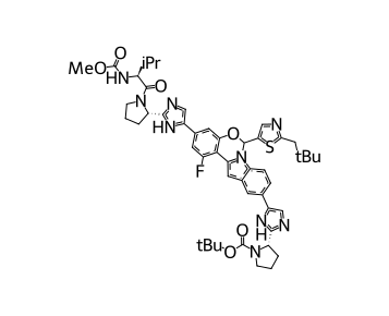 COC(=O)N[C@H](C(=O)N1CCC[C@H]1c1ncc(-c2cc(F)c3c(c2)OC(c2cnc(CC(C)(C)C)s2)n2c-3cc3cc(-c4cnc([C@@H]5CCCN5C(=O)OC(C)(C)C)[nH]4)ccc32)[nH]1)C(C)C